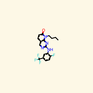 CCCCn1c(=O)ccc2cnc(Nc3cc(C(F)(F)F)ccc3F)nc21